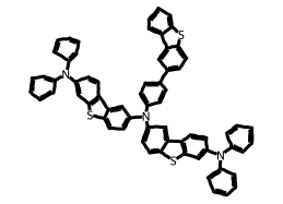 c1ccc(N(c2ccccc2)c2ccc3c(c2)sc2ccc(N(c4ccc(-c5ccc6sc7ccccc7c6c5)cc4)c4ccc5sc6cc(N(c7ccccc7)c7ccccc7)ccc6c5c4)cc23)cc1